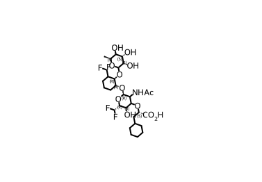 CC(=O)NC1C(O[C@@H](CC2CCCCC2)C(=O)O)[C@@H](O)[C@H](C(F)F)O[C@H]1O[C@@H]1CCCC(C(F)F)[C@H]1OC1O[C@@H](C)C(O)[C@H](O)[C@@H]1O